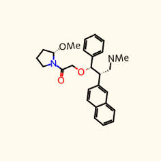 CNC[C@H](c1ccc2ccccc2c1)[C@H](OCC(=O)N1CCC[C@@H]1OC)c1ccccc1